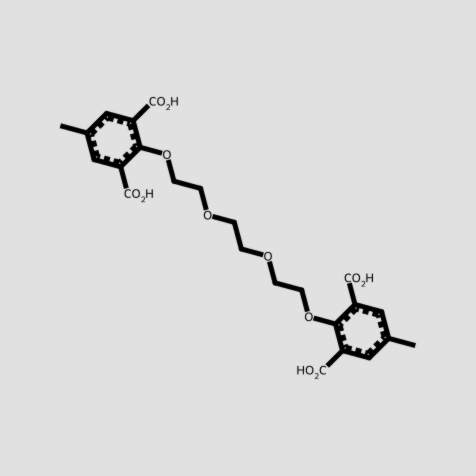 Cc1cc(C(=O)O)c(OCCOCCOCCOc2c(C(=O)O)cc(C)cc2C(=O)O)c(C(=O)O)c1